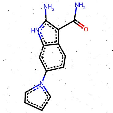 NC(=O)c1c(N)[nH]c2cc(-n3cccc3)ccc12